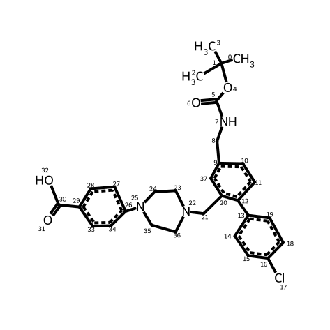 CC(C)(C)OC(=O)NCc1ccc(-c2ccc(Cl)cc2)c(CN2CCN(c3ccc(C(=O)O)cc3)CC2)c1